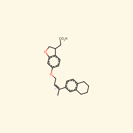 C/C(=C/COc1ccc2c(c1)OCC2CC(=O)O)c1ccc2c(c1)CCCC2